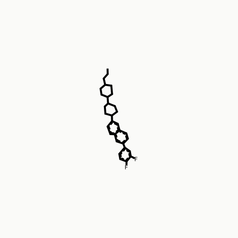 CCCC1CCC(C2CCC(c3ccc4cc(-c5ccc(F)c(F)c5)ccc4c3)CC2)CC1